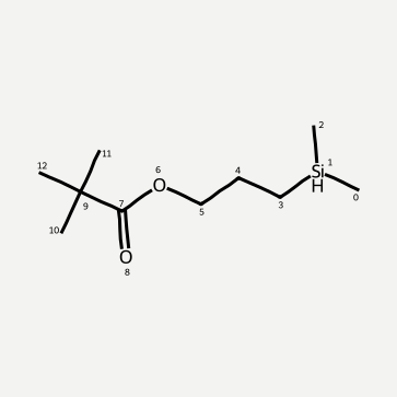 C[SiH](C)CCCOC(=O)C(C)(C)C